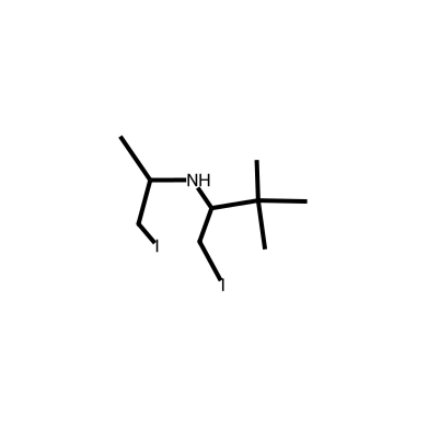 CC(CI)NC(CI)C(C)(C)C